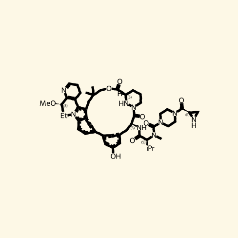 CCn1c(C2=C([C@H](C)OC)N=CCC2)c2c3cc(ccc31)-c1cc(O)cc(c1)C[C@H](NC(=O)[C@H](C(C)C)N(C)C(=O)N1CCN(C(=O)[C@H]3CN3)CC1)C(=O)N1CCC[C@H](N1)C(=O)OCC(C)(C)C2